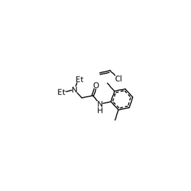 C=CCl.CCN(CC)CC(=O)Nc1c(C)cccc1C